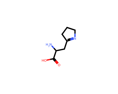 NC(CC1=NCCC1)C(=O)O